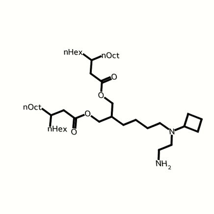 CCCCCCCCC(CCCCCC)CC(=O)OCC(CCCCN(CCN)C1CCC1)COC(=O)CC(CCCCCC)CCCCCCCC